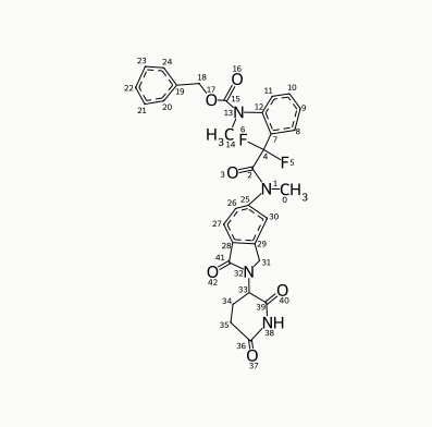 CN(C(=O)C(F)(F)c1ccccc1N(C)C(=O)OCc1ccccc1)c1ccc2c(c1)CN(C1CCC(=O)NC1=O)C2=O